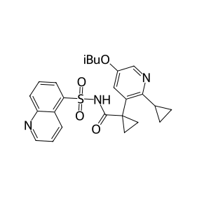 CC(C)COc1cnc(C2CC2)c(C2(C(=O)NS(=O)(=O)c3cccc4ncccc34)CC2)c1